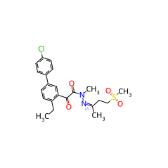 CCc1ccc(-c2ccc(Cl)cc2)cc1C(=O)C(=O)N(C)/N=C(/C)CCS(C)(=O)=O